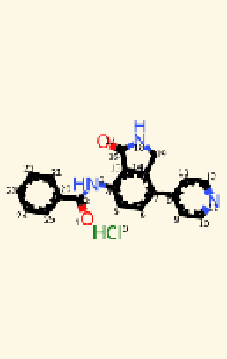 Cl.O=C(Nc1ccc(-c2ccncc2)c2c1C(=O)NC2)c1ccccc1